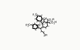 CC(C)CC[C@@H](c1ccc(C(F)(F)F)cc1)N1CCC(C(=O)O)(C(=O)O)C(C)[C@]1(C)c1ccc(C(F)(F)F)cc1